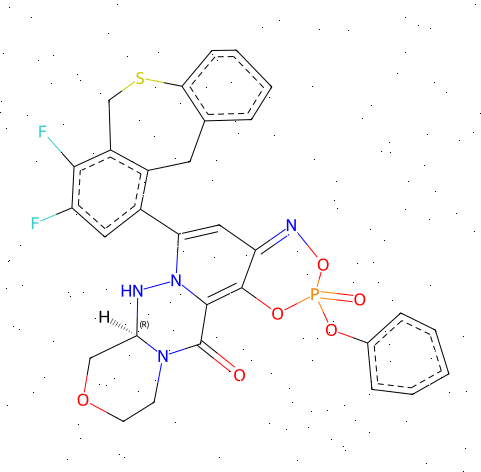 O=C1C2=C3OP(=O)(Oc4ccccc4)ON=C3C=C(c3cc(F)c(F)c4c3Cc3ccccc3SC4)N2N[C@@H]2COCCN12